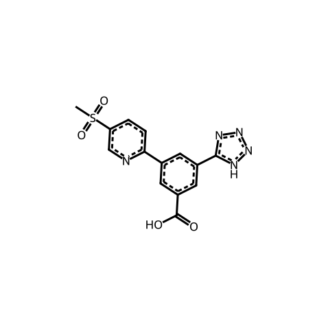 CS(=O)(=O)c1ccc(-c2cc(C(=O)O)cc(-c3nnn[nH]3)c2)nc1